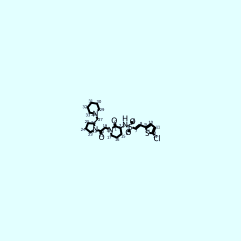 O=C1[C@@H](NS(=O)(=O)/C=C/c2ccc(Cl)s2)CCCN1CC(=O)N1CCC[C@H]1CN1CCCCC1